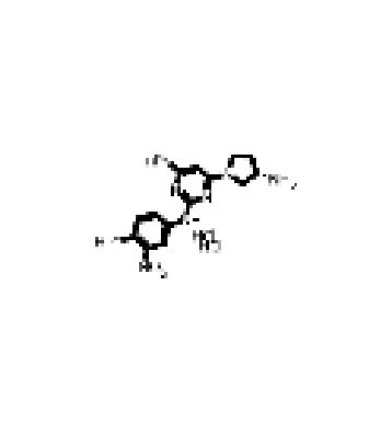 CCCc1cc(N2CC[C@H](N)C2)nc(Nc2ccc(C)c([N+](=O)[O-])c2)n1.Cl.Cl